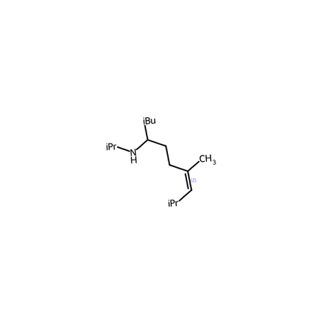 CCC(C)C(CC/C(C)=C\C(C)C)NC(C)C